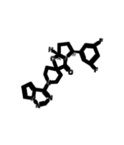 O=C1N2[C@@H](CC[C@H]2c2cc(F)cc(F)c2)OC12CCN(c1ncnn3cccc13)CC2